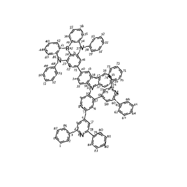 c1ccc(-c2cc(-c3ccc(-n4c5ccccc5c5cc(-c6cc7c8c(c6)N(c6ccccc6)c6ccccc6B8c6ccccc6N7c6ccccc6)ccc54)c(-c4cc(-c5ccccc5)nc(-c5ccccc5)c4)c3)cc(-c3ccccc3)n2)cc1